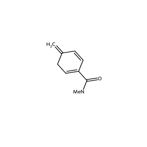 [CH2]NC(=O)C1=CCC(=C)C=C1